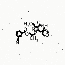 CCc1nn(C[C@@H](C)COC(=O)c2cccc(C#N)c2)c2c1C(=O)NCC1(CCOCC1)C2